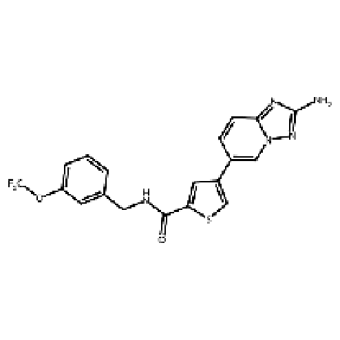 Nc1nc2ccc(-c3csc(C(=O)NCc4cccc(OC(F)(F)F)c4)c3)cn2n1